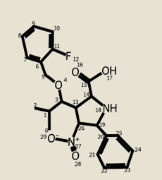 CC(C)C(OCc1ccccc1F)C1C(C(=O)O)NC(c2ccccc2)C1[N+](=O)[O-]